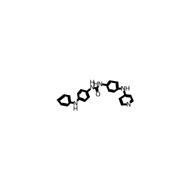 O=C(Nc1ccc(Nc2ccccc2)cc1)Nc1ccc(Nc2ccncc2)cc1